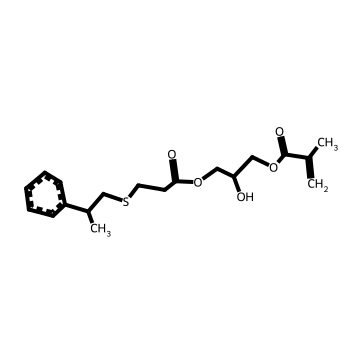 C=C(C)C(=O)OCC(O)COC(=O)CCSCC(C)c1ccccc1